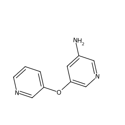 Nc1cncc(Oc2cccnc2)c1